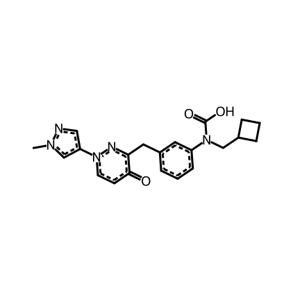 Cn1cc(-n2ccc(=O)c(Cc3cccc(N(CC4CCC4)C(=O)O)c3)n2)cn1